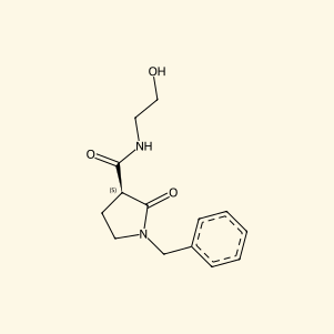 O=C(NCCO)[C@@H]1CCN(Cc2ccccc2)C1=O